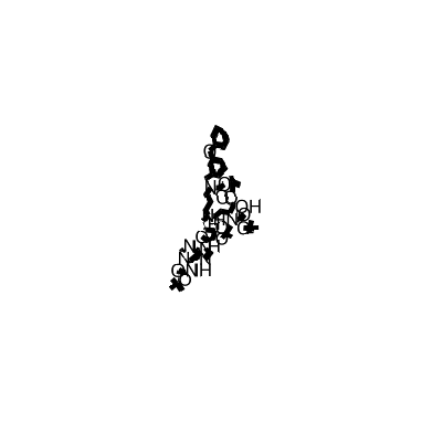 CC(C)(C)OC(=O)Nc1ncnc2c1ncn2[C@@H]1O[C@H](CN(CCCN(Cc2cccc(Oc3ccccc3)c2)C(=O)OC(C)(C)C)CCC(NC(=O)OC(C)(C)C)C(=O)O)[C@H]2OC(C)(C)O[C@H]21